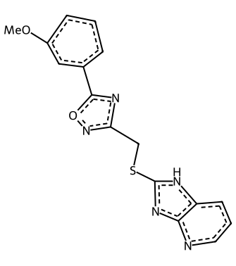 COc1cccc(-c2nc(CSc3nc4ncccc4[nH]3)no2)c1